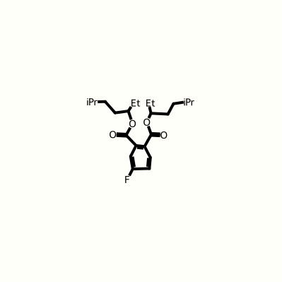 CCC(CCC(C)C)OC(=O)c1ccc(F)cc1C(=O)OC(CC)CCC(C)C